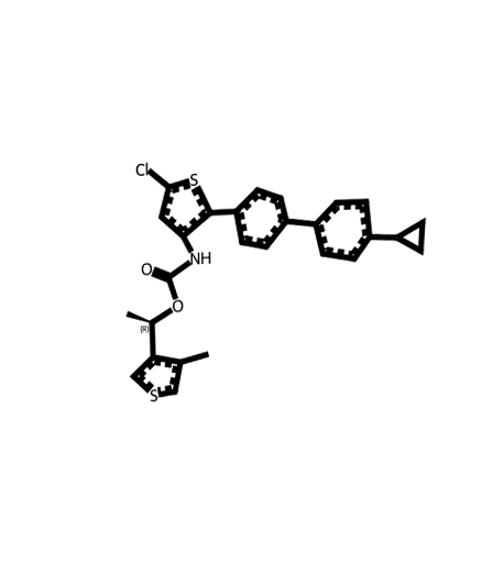 Cc1cscc1[C@@H](C)OC(=O)Nc1cc(Cl)sc1-c1ccc(-c2ccc(C3CC3)cc2)cc1